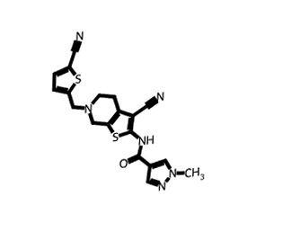 Cn1cc(C(=O)Nc2sc3c(c2C#N)CCN(Cc2ccc(C#N)s2)C3)cn1